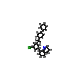 CC(C)(c1ccc(-c2ccccc2)cc1)c1cc(Br)cc(-c2cccc3cccnc23)c1